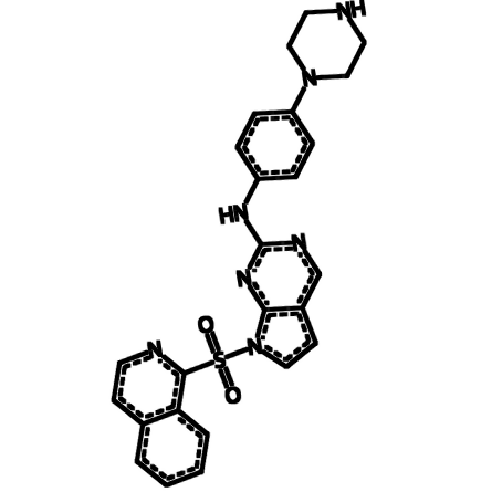 O=S(=O)(c1nccc2ccccc12)n1ccc2cnc(Nc3ccc(N4CCNCC4)cc3)nc21